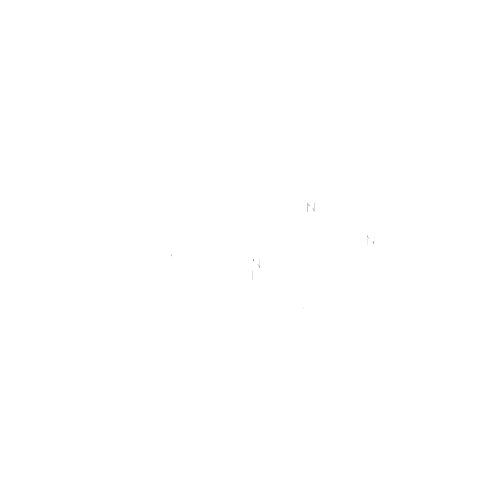 Cc1cc2ncnc(Nc3ccc(F)cc3OC(C)C)c2s1